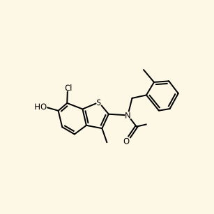 CC(=O)N(Cc1ccccc1C)c1sc2c(Cl)c(O)ccc2c1C